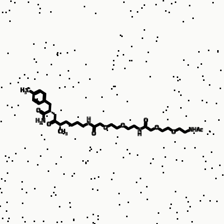 CC(=O)NCCOCCOCC(=O)NCCOCCOCC(=O)NCCCC[C@H](C)C(=O)C[C@@H](Cc1ccc(C)cc1)C(N)=O